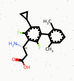 Cc1cccc(C)c1-c1cc(C2CC2)c(F)c([C@@H](N)CC(=O)O)c1F